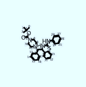 CC(C)(C)OC(=O)N1CCN([C@@H](c2ccccc2)[C@H](NC(=S)Nc2ccccc2)c2ccccc2)CC1